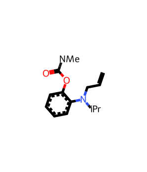 C=CCN(c1ccccc1OC(=O)NC)C(C)C